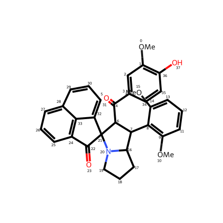 COc1cc(C(=O)C2C(c3c(OC)cccc3OC)C3CCCN3C23C(=O)c2cccc4cccc3c24)ccc1O